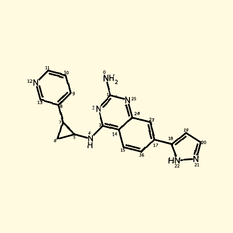 Nc1nc(NC2CC2c2cccnc2)c2ccc(-c3ccn[nH]3)cc2n1